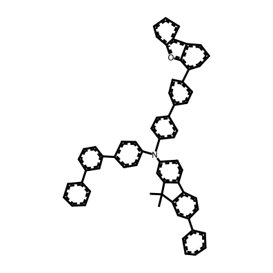 CC1(C)c2cc(-c3ccccc3)ccc2-c2ccc(N(c3ccc(-c4ccc(-c5cccc6c5oc5ccccc56)cc4)cc3)c3ccc(-c4cccc(-c5ccccc5)c4)cc3)cc21